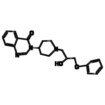 O=c1c2ccccc2ncn1C1CCN(CC(O)COc2ccccc2)CC1